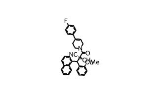 COc1ccccc1C(c1cccc2ccccc12)[C@@](C)(C#N)C(=O)N1CC=C(c2ccc(F)cc2)CC1